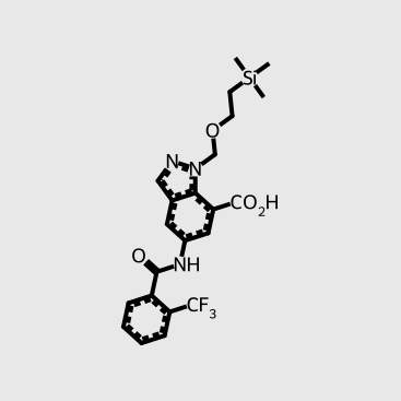 C[Si](C)(C)CCOCn1ncc2cc(NC(=O)c3ccccc3C(F)(F)F)cc(C(=O)O)c21